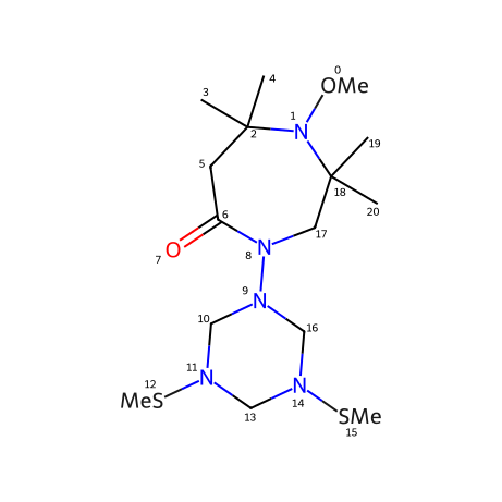 CON1C(C)(C)CC(=O)N(N2CN(SC)CN(SC)C2)CC1(C)C